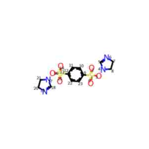 O=S(=O)(ON1C=NCC1)c1ccc(S(=O)(=O)ON2C=NCC2)cc1